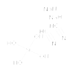 C#N.C#N.O[Si](O)(O)O.[NaH].[NaH]